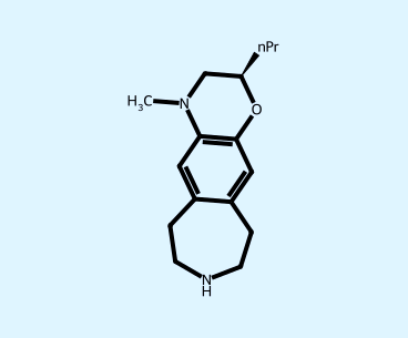 CCC[C@@H]1CN(C)c2cc3c(cc2O1)CCNCC3